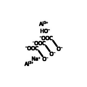 O=C([O-])[O-].O=C([O-])[O-].O=C([O-])[O-].[Al+3].[Al+3].[Na+].[OH-]